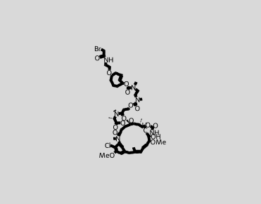 COc1cc2cc(c1Cl)N(C)C(=O)C[C@H](OC(=O)[C@H](C)N(C)C(=O)CCOC(=O)N(C)CCN(C)C(=O)OC1/C=C/CC(OCCNC(=O)CBr)CCC1)[C@]1(C)OC1[C@H](C)[C@@H]1C[C@@](O)(NC(=O)O1)[C@H](OC)/C=C/C=C(\C)C2